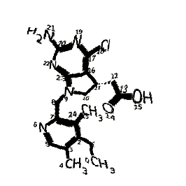 CCc1c(C)cnc(CN2C[C@@H](CC(=O)O)c3c(Cl)nc(N)nc32)c1C